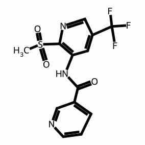 CS(=O)(=O)c1ncc(C(F)(F)F)cc1NC(=O)c1cccnc1